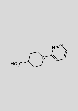 O=C(O)C1CCN(c2cccnn2)CC1